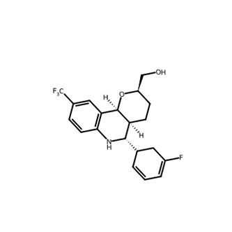 OC[C@H]1CC[C@@H]2[C@H](O1)c1cc(C(F)(F)F)ccc1N[C@H]2C1C=CC=C(F)C1